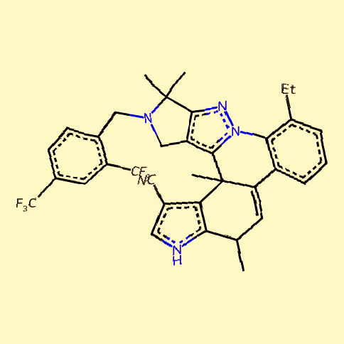 CCc1cccc2c1-n1nc3c(c1C1(C)C2=CC(C)c2[nH]cc(C#N)c21)CN(Cc1ccc(C(F)(F)F)cc1C(F)(F)F)C3(C)C